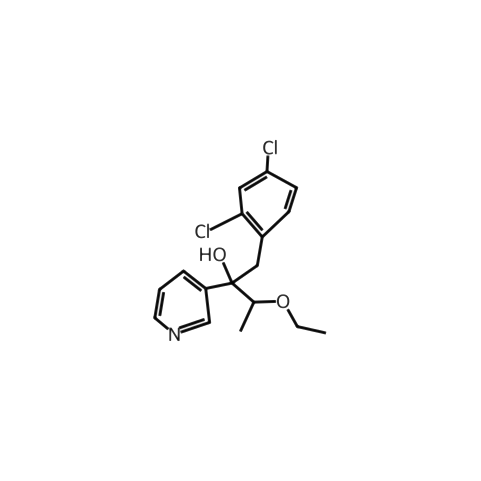 CCOC(C)C(O)(Cc1ccc(Cl)cc1Cl)c1cccnc1